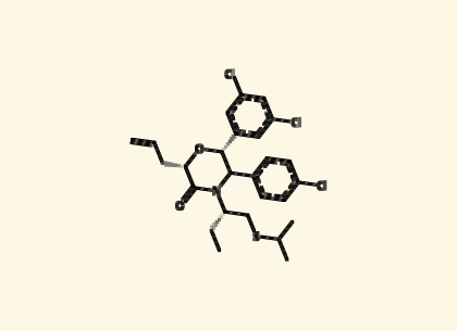 C=CC[C@@H]1O[C@H](c2cc(Cl)cc(Cl)c2)C(c2ccc(Cl)cc2)N([C@@H](CC)CSC(C)C)C1=O